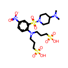 CN(C)C1CCN(S(=O)(=O)c2cc([N+](=O)[O-])ccc2N(CCCS(=O)(=O)O)CCCS(=O)(=O)O)CC1